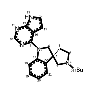 CCCCN1CC[C@@]2(C1)CN(c1ncnc3[nH]ccc13)c1ccccc12